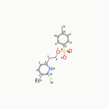 CCc1ccc(CCOS(=O)(=O)c2ccc(C)cc2)nc1F